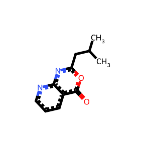 CC(C)Cc1nc2ncccc2c(=O)o1